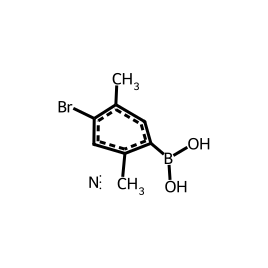 Cc1cc(B(O)O)c(C)cc1Br.[N]